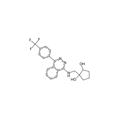 OC1CCCC1(O)CNc1nnc(-c2ccc(C(F)(F)F)cc2)c2ccccc12